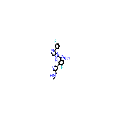 CCNCc1cncc(-c2cc3c(-c4nc5c(-c6cccc(F)c6)nccc5[nH]4)n[nH]c3cc2F)c1